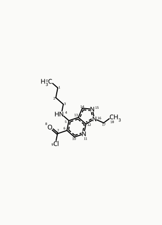 CCCCNc1c(C(=O)Cl)cnc2c1cnn2CC